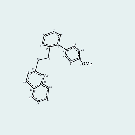 COc1ccc(-c2ccccc2CCc2ccc3ccccc3n2)cc1